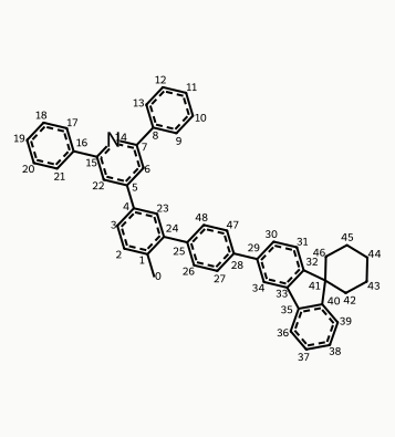 Cc1ccc(-c2cc(-c3ccccc3)nc(-c3ccccc3)c2)cc1-c1ccc(-c2ccc3c(c2)-c2ccccc2C32CCCCC2)cc1